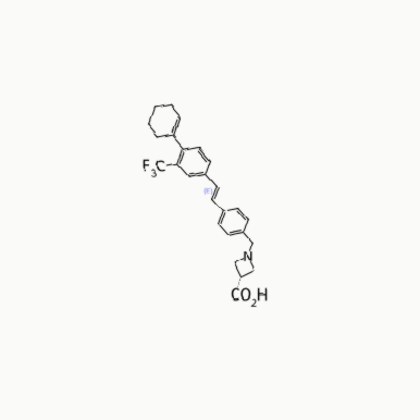 O=C(O)C1CN(Cc2ccc(/C=C/c3ccc(C4=CCCCC4)c(C(F)(F)F)c3)cc2)C1